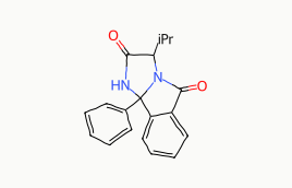 CC(C)C1C(=O)NC2(c3ccccc3)c3ccccc3C(=O)N12